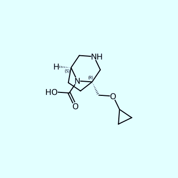 O=C(O)N1[C@H]2CC[C@]1(COC1CC1)CNC2